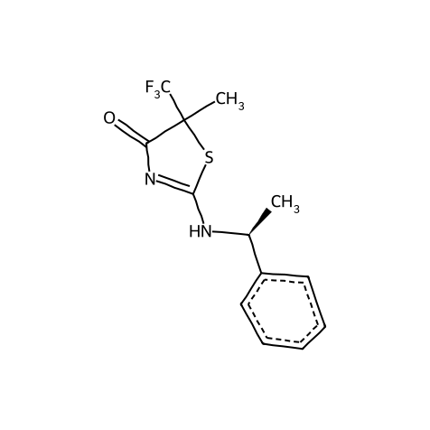 C[C@H](NC1=NC(=O)C(C)(C(F)(F)F)S1)c1ccccc1